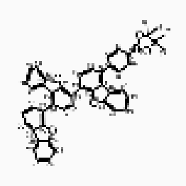 CC1(C)OB(c2ccc(-c3ccc(-c4ccc(-c5cccc6c5oc5ccccc56)c5c4oc4ccccc45)c4oc5ccccc5c34)cc2)OC1(C)C